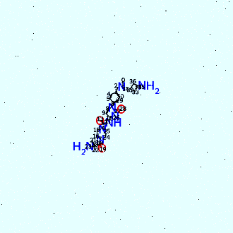 CN(Cc1ccc(-n2ccc(NC(=O)N3CCN(C(=O)C(C)(C)N)CC3)nc2=O)cc1)C[C@H]1C[C@@H](N)C1